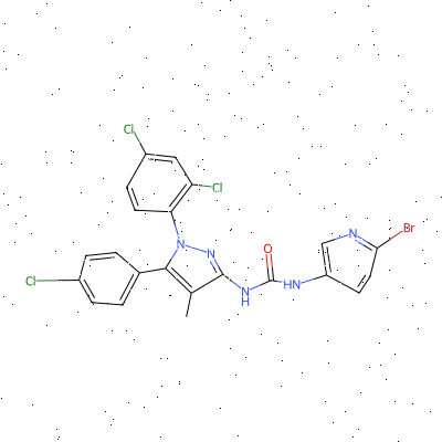 Cc1c(NC(=O)Nc2ccc(Br)nc2)nn(-c2ccc(Cl)cc2Cl)c1-c1ccc(Cl)cc1